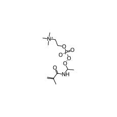 C=C(C)C(=O)NC(C)OOP(=O)([O-])OCC[N+](C)(C)C